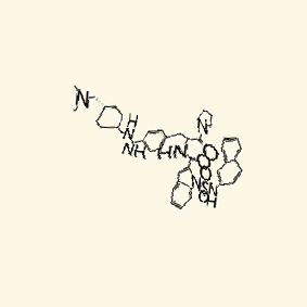 CN(C)C[C@H]1CC[C@H](CNC(=N)c2ccc(CC(NC(=O)c3cc4ccccc4n3S(=O)(=O)Nc3ccc4ccccc4c3)C(=O)N3CCCC3)cc2)CC1